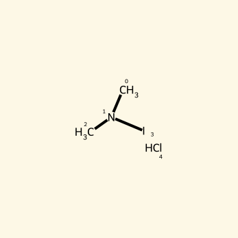 CN(C)I.Cl